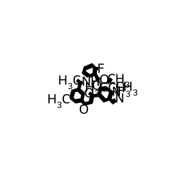 Cc1cc(C(C)Nc2cccc(F)c2C(=O)OC(C)(C)C)c2oc(-c3ccc4c(cnn4C)c3)cc(=O)c2c1